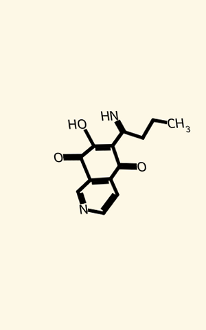 CCCC(=N)C1=C(O)C(=O)c2cnccc2C1=O